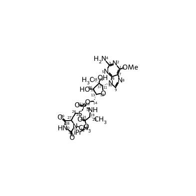 COc1nc(N)nc2c1ncn2[C@@H]1O[C@H](CO[P@](=O)(N[C@H](C)C(=O)OC(C)C)SCC2C(=O)NC(=O)N2C)[C@@H](O)[C@@]1(C)O